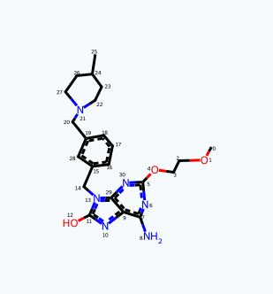 COCCOc1nc(N)c2nc(O)n(Cc3cccc(CN4CCC(C)CC4)c3)c2n1